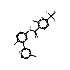 Cc1ccnc(-c2cc(NC(=O)c3ccc(C(F)(F)F)nc3C)ccc2C)c1